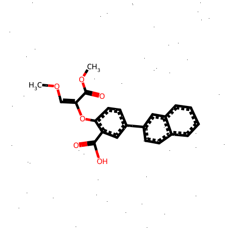 CO/C=C(/Oc1ccc(-c2ccc3ccccc3c2)cc1C(=O)O)C(=O)OC